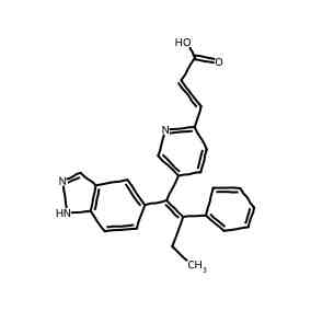 CC/C(=C(/c1ccc(/C=C/C(=O)O)nc1)c1ccc2[nH]ncc2c1)c1ccccc1